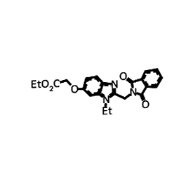 CCOC(=O)COc1ccc2nc(CN3C(=O)c4ccccc4C3=O)n(CC)c2c1